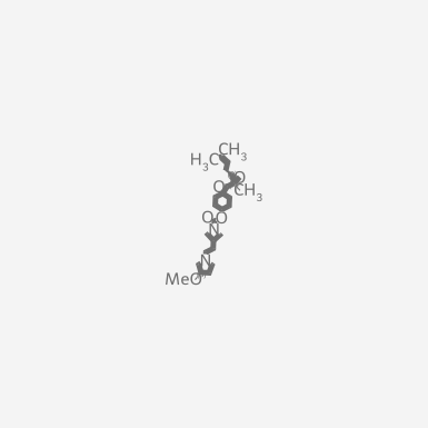 CO[C@H]1CCN(CCC2CN(C(=O)OC3CCC4(CC3)OC4[C@]3(C)O[C@@H]3CC=C(C)C)C2)C1